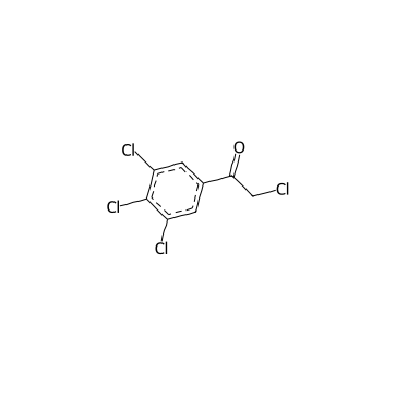 O=C(CCl)c1cc(Cl)c(Cl)c(Cl)c1